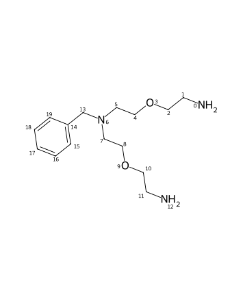 NCCOCCN(CCOCCN)Cc1ccccc1